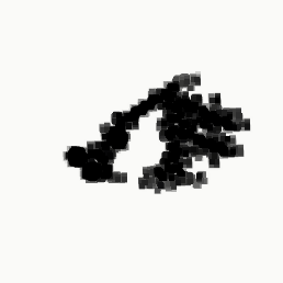 CC(C)(C)C(=O)CN1C(=O)[C@H](NC(=O)Nc2cccc(C(=O)NCCCCCCCC(=O)N[C@H](CCC(=O)O)C(=O)N[C@H](CCC(=O)NC[C@H](O)[C@@H](O)[C@H](O)[C@H](O)CO)C(=O)N[C@H](CCC(=O)O)C(=O)N[C@H](CCC(=O)NC[C@H](O)[C@@H](O)[C@H](O)[C@H](O)CO)C(=O)NC[C@H](N)C(=O)N[C@@H](CC(=O)O)C(=O)N[C@@H](CS)C(=O)O)c2)CN(C2CCCCC2)c2ccccc21